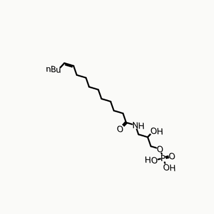 CCCC/C=C\CCCCCCCCC(=O)NCC(O)COP(=O)(O)O